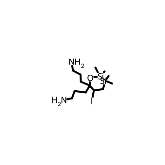 C[Si]1(C)CC(I)C(CCCN)(CCCN)O[Si]1(C)C